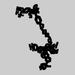 Cc1ncsc1-c1ccc(CN(C(=O)C(NC(=O)COCC2CC3(C2)CC(COc2ccc(N4C(=S)N(c5ccc(C#N)c(C(F)(F)F)c5)C(=O)C4(C)C)cc2)C3)C(C)(C)C)C(=O)[C@@H]2C[C@@H](O)CN2)cc1